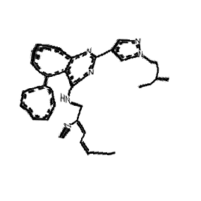 C=N/C(=C\C=C/C)CNc1nc(-c2cnn(CC(C)C)c2)nc2cccc(-c3ccccc3)c12